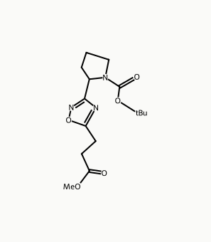 COC(=O)CCc1nc(C2CCCN2C(=O)OC(C)(C)C)no1